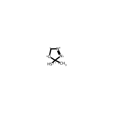 CC1(S)N=NCO1